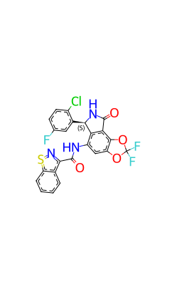 O=C1N[C@H](c2cc(F)ccc2Cl)c2c(NC(=O)c3nsc4ccccc34)cc3c(c21)OC(F)(F)O3